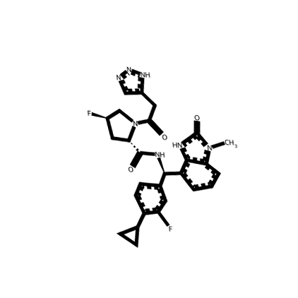 Cn1c(=O)[nH]c2c([C@H](NC(=O)[C@@H]3C[C@@H](F)CN3C(=O)Cc3cnn[nH]3)c3ccc(C4CC4)c(F)c3)cccc21